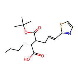 CCCC[C@@H](C(=O)O)C(C/C=C/c1nccs1)C(=O)OC(C)(C)C